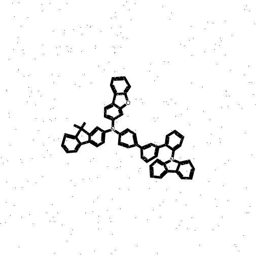 CC1(C)c2ccccc2-c2ccc(N(c3ccc(-c4cccc(-c5ccccc5-n5c6ccccc6c6ccccc65)c4)cc3)c3ccc4c(c3)oc3ccccc34)cc21